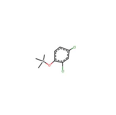 C[Si](C)(C)Oc1ccc(Cl)cc1Cl